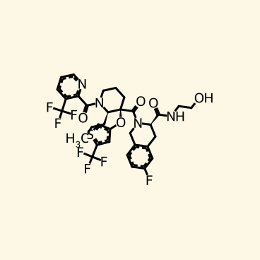 CCC[C@H]1N(C(=O)c2ncccc2C(F)(F)F)CCC[C@]1(Oc1csc(C(F)(F)F)c1)C(=O)N1Cc2ccc(F)cc2C[C@@H]1C(=O)NCCO